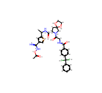 CC(=O)ONC(=N)c1csc(C(C)NC(=O)[C@@H]2CC3(CN2C(=O)CNC(=O)c2ccc(C(F)(F)c4ccccc4)cc2)OCCO3)c1